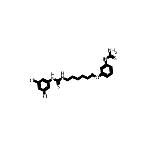 NC(=S)Nc1cccc(OCCCCCCNC(=S)Nc2cc(Cl)cc(Cl)c2)c1